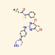 C=CC(=O)Nc1cccc(Oc2nc(Nc3ccc(N4CCNCC4)cc3)nc3c2COC3)c1